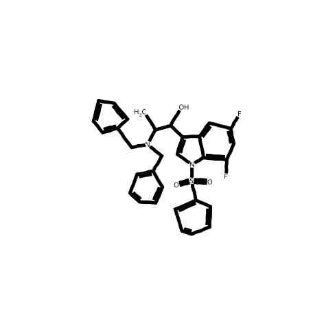 CC(C(O)c1cn(S(=O)(=O)c2ccccc2)c2c(F)cc(F)cc12)N(Cc1ccccc1)Cc1ccccc1